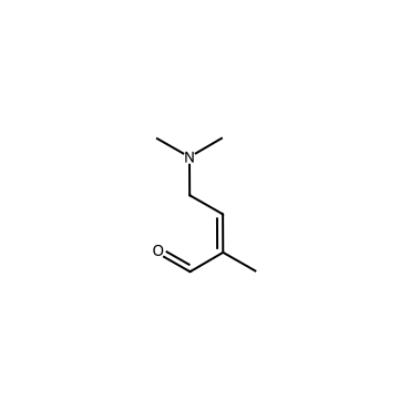 CC(C=O)=CCN(C)C